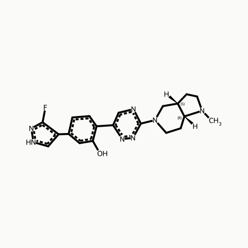 CN1CC[C@H]2CN(c3ncc(-c4ccc(-c5c[nH]nc5F)cc4O)nn3)CC[C@H]21